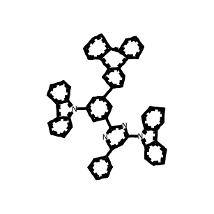 c1ccc(-c2cc(-n3c4ccccc4c4ccccc43)nc(-c3cc(-c4ccc5c6ccccc6c6ccccc6c5c4)cc(-n4c5ccccc5c5ccccc54)c3)n2)cc1